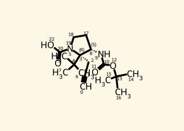 C#CC[C@@]1(C(C)(C)C)[C@@H](NC(=O)OC(C)(C)C)CCN1C(=O)O